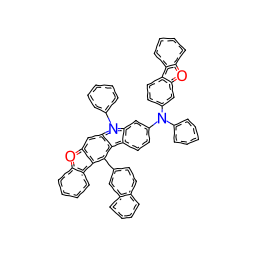 c1ccc(N(c2ccc3c(c2)oc2ccccc23)c2ccc3c4c(-c5ccc6ccccc6c5)c5c(cc4n(-c4ccccc4)c3c2)oc2ccccc25)cc1